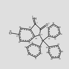 N=C1C(=O)N(C(c2ccccc2)(c2ccccc2)c2ccccc2)c2ccc(Cl)cc21